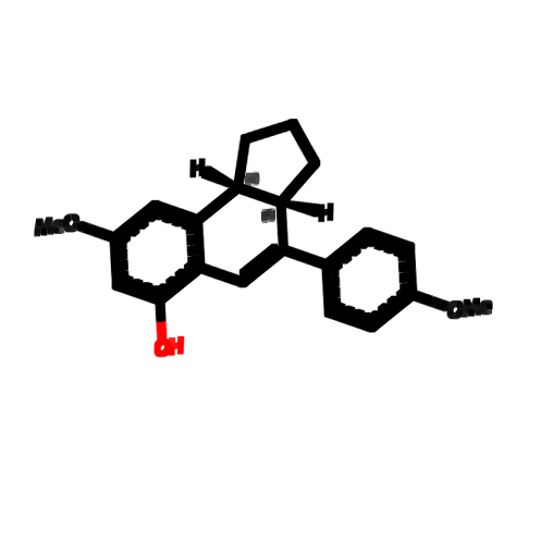 COc1ccc(C2=Cc3c(O)cc(OC)cc3[C@@H]3CCC[C@H]23)cc1